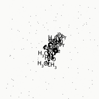 CC[C@H](C)[C@@H]([C@@H](CC(=O)N1CCC[C@H]1[C@H](OC)[C@@H](C)C(=O)N[C@@H](Cc1ccccc1)C(=O)NCCN(C)C)OC)N(C)C(=O)[C@H](C(C)C)N(C)C(=O)[C@H](C(C)C)N(C)C(C)C